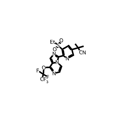 CCS(=O)(=O)c1cc(C(C)(C)C#N)cnc1-c1ncc2c(OC(F)(F)C(F)(F)F)nccn12